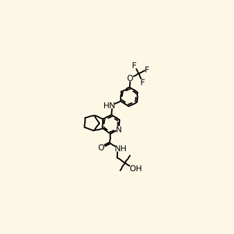 CC(C)(O)CNC(=O)c1ncc(Nc2cccc(OC(F)(F)F)c2)c2c1C1CCC2C1